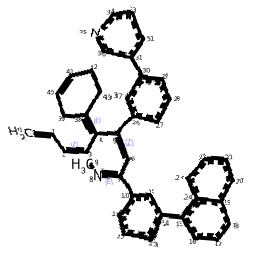 C=C\C=C/C(C(=C\C(=N/C)c1cccc(-c2cccc3ccccc23)c1)/c1cccc(-c2cccnc2)c1)=C1\CC=CCC1